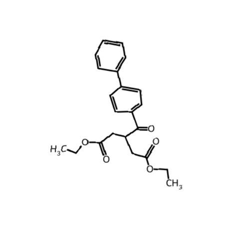 CCOC(=O)CC(CC(=O)OCC)C(=O)c1ccc(-c2ccccc2)cc1